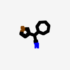 N#CC(c1ccsc1)C1CCCCCC1